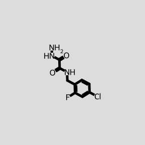 NNC(=O)C(=O)NCc1ccc(Cl)cc1F